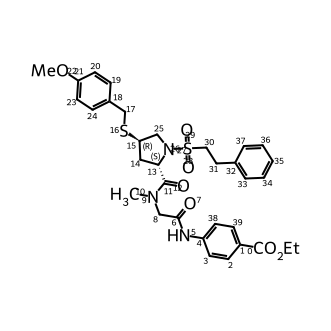 CCOC(=O)c1ccc(NC(=O)CN(C)C(=O)[C@@H]2C[C@@H](SCc3ccc(OC)cc3)CN2S(=O)(=O)CCc2ccccc2)cc1